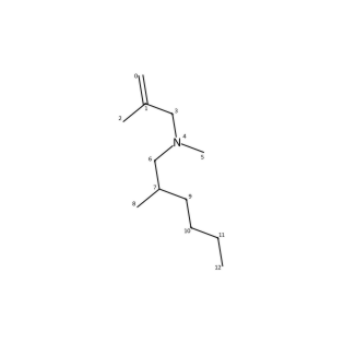 C=C(C)CN(C)CC(C)CCCC